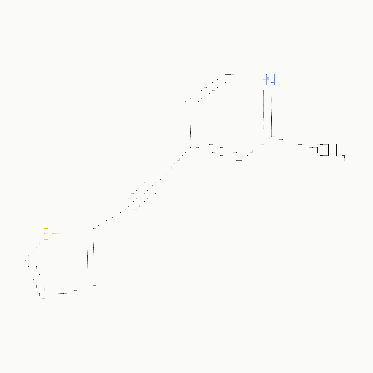 Cc1cc(C#Cc2cccs2)ccn1